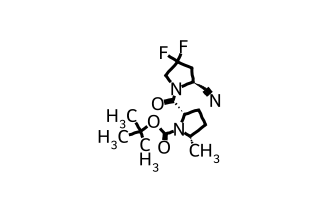 C[C@H]1CC[C@@H](C(=O)N2CC(F)(F)C[C@H]2C#N)N1C(=O)OC(C)(C)C